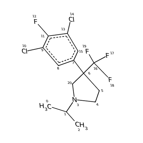 CC(C)N1CCC(c2cc(Cl)c(F)c(Cl)c2)(C(F)(F)F)C1